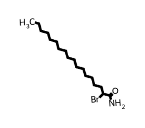 CCCCCCCCCCCCCCCCC(Br)C(N)=O